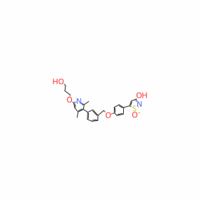 Cc1cc(OCCCO)nc(C)c1-c1cccc(COc2ccc(-c3cc(O)n[s+]3[O-])cc2)c1